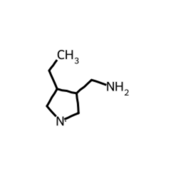 CCC1C[N]CC1CN